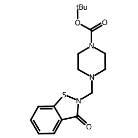 CC(C)(C)OC(=O)N1CCN(Cn2sc3ccccc3c2=O)CC1